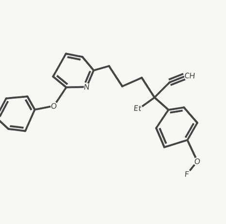 C#CC(CC)(CCCc1cccc(Oc2ccccc2)n1)c1ccc(OF)cc1